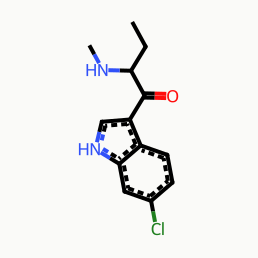 CCC(NC)C(=O)c1c[nH]c2cc(Cl)ccc12